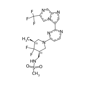 C[C@H]1CN(c2ccnc(-c3cnc4cnc(C(F)(F)F)cn34)n2)C[C@@H](CNS(C)(=O)=O)C1(F)F